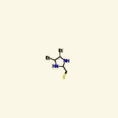 CCC1NC(C=S)NC1CC